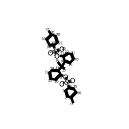 Cc1ccc(S(=O)(=O)Oc2ccccc2C(C)(C)c2ccccc2OS(=O)(=O)c2ccc(C)cc2)cc1